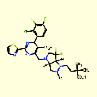 CCOC(=O)C1=C(CN2CC(F)(F)[C@H]3[C@@H]2CN(C(C)=O)N3CCC(C)(C)C(=O)O)NC(c2nccs2)=NC1c1ccc(F)c(F)c1Cl